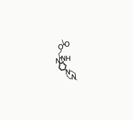 CC(=O)OCCc1nc2ccc(N3CCN(C)CC3)cc2[nH]1